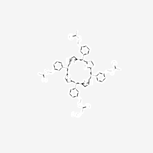 CC(=O)SCc1cccc(-c2c3nc(c(-c4cccc(CSC(C)=O)c4)c4ccc([nH]4)c(-c4cccc(CSC(C)=O)c4)c4nc(c(-c5cccc(CSC(C)=O)c5)c5ccc2[nH]5)C=C4)C=C3)c1.[Co]